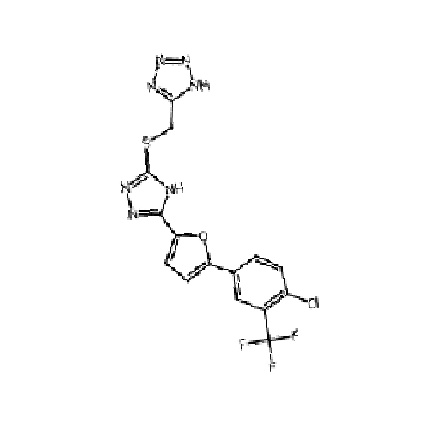 FC(F)(F)c1cc(-c2ccc(-c3nnc(SCc4nnn[nH]4)[nH]3)o2)ccc1Cl